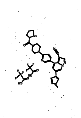 Cn1cc(-c2cc(-c3ccc(N4CCN(C(=O)[C@H]5CCCN5)CC4)nc3)c3c(C#N)cnn3c2)cn1.O=C(O)C(F)(F)F.O=C(O)C(F)(F)F